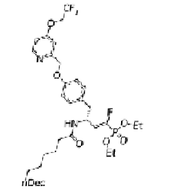 CCCCCCCCCCCCCCCC(=O)N[C@@H](/C=C(\F)P(=O)(OCC)OCC)Cc1ccc(OCc2cc(OCC(F)(F)F)ccn2)cc1